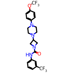 O=C(Nc1cccc(C(F)(F)F)c1)N1CC(N2CCN(c3ccc(OC(F)(F)F)cc3)CC2)C1